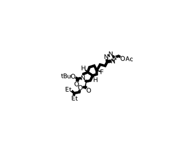 CCC(CC)COC(=O)[C@@H]1C[C@H]2C[C@@](F)(CCc3nnn(COC(C)=O)n3)CC[C@H]2CN1C(=O)OC(C)(C)C